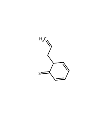 C=CCC1C=CC=[C]C1=S